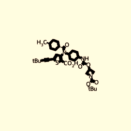 CC(C)(C)C#Cc1cc(N(C(=O)[C@H]2CC[C@H](C)CC2)C2CCC(NC(=O)OC3CN(C(=O)OC(C)(C)C)C3)CC2)c(C(=O)O)s1